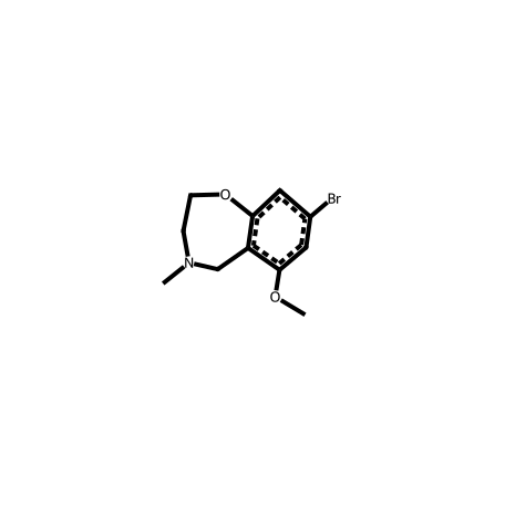 COc1cc(Br)cc2c1CN(C)CCO2